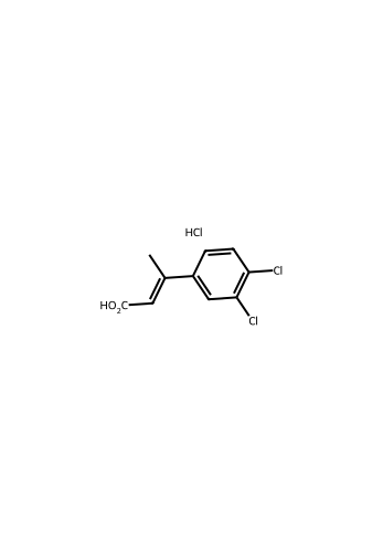 CC(=CC(=O)O)c1ccc(Cl)c(Cl)c1.Cl